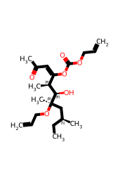 C=CCOC(=O)OC(=CC(C)=O)[C@H](C)[C@@H](O)[C@@](C)(C[C@@H](C)CC)OCC=C